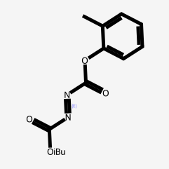 Cc1ccccc1OC(=O)/N=N/C(=O)OCC(C)C